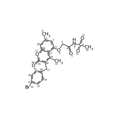 Cc1cc(OCC(=O)NS(C)(=O)=O)c2c(C)c(Cc3ccc(Br)cc3)c(=O)oc2c1